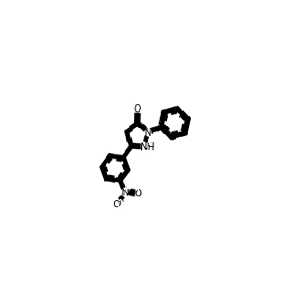 O=C1CC(c2cccc([N+](=O)[O-])c2)NN1c1ccccc1